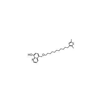 Cc1cc(CCCCCCCCCCCOCc2ccc(O)c3ncccc23)c(C)s1